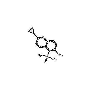 CP(C)(=O)c1c(N)ccc2nc(C3CC3)ccc12